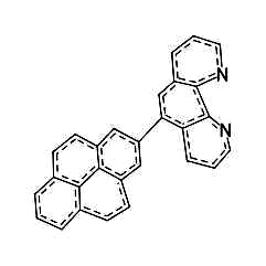 c1cnc2c(c1)cc(-c1cc3ccc4cccc5ccc(c1)c3c45)c1cccnc12